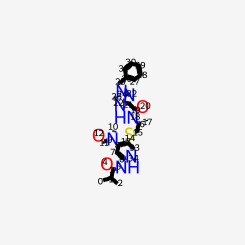 CC(C)C(=O)Nc1cc(N(C)C=O)c(SC[C@@H](C)NC(=O)c2ncn(Cc3ccccc3)n2)cn1